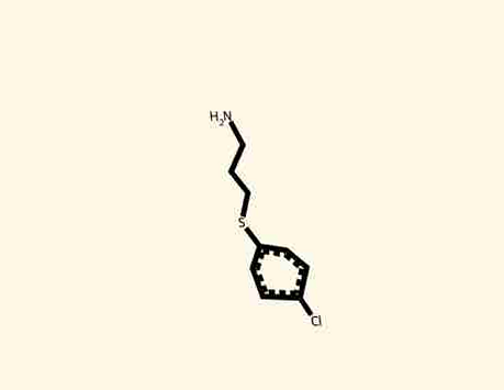 NCCCSc1ccc(Cl)cc1